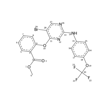 COC(=O)c1ccccc1Oc1nc(Nc2ccc(OC(F)(F)F)cc2)ncc1Br